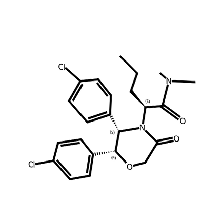 CCC[C@@H](C(=O)N(C)C)N1C(=O)CO[C@H](c2ccc(Cl)cc2)[C@@H]1c1ccc(Cl)cc1